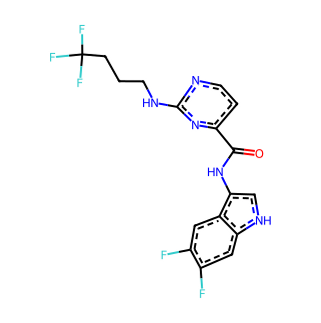 O=C(Nc1c[nH]c2cc(F)c(F)cc12)c1ccnc(NCCCC(F)(F)F)n1